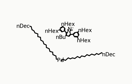 CCCCCCCCCCCCCCCCCCCCCCCCCCC[CH2][Pd][CH2]CCCCCCCCCCCCCCCCCCCCCCCCCCC.CCCCCCc1cc(CCCCCC)cc(C2=CC(CCCC)=C(c3cc(CCCCCC)cc(CCCCCC)c3)[N+]2=[N-])c1